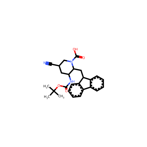 CC(C)(C)OC(=O)NC1CC(C#N)CN(C(=O)O)C1CC1c2ccccc2-c2ccccc21